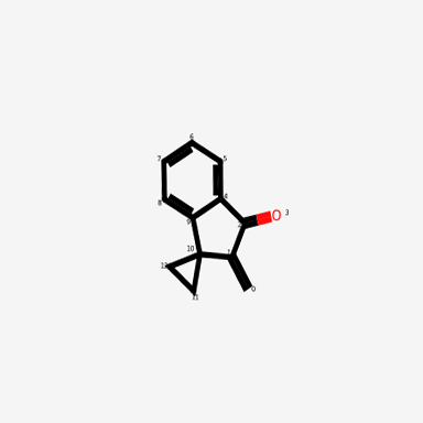 C=C1C(=O)c2ccccc2C12CC2